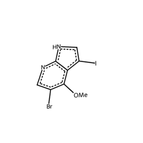 COc1c(Br)cnc2[nH]cc(I)c12